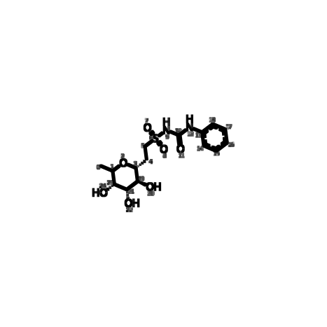 CC1O[C@H](CCS(=O)(=O)NC(=O)Nc2ccccc2)[C@@H](O)[C@H](O)[C@@H]1O